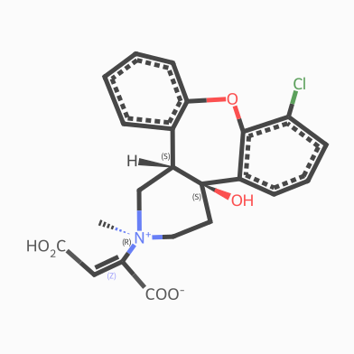 C[N@@+]1(/C(=C\C(=O)O)C(=O)[O-])CC[C@@]2(O)c3cccc(Cl)c3Oc3ccccc3[C@H]2C1